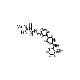 CNC(=N)NC(=O)NCc1cccc(-c2cnc(NC3CCCCC3O)nc2)c1